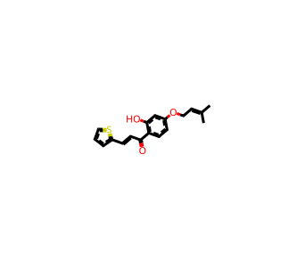 CC(C)=CCOc1ccc(C(=O)C=Cc2cccs2)c(O)c1